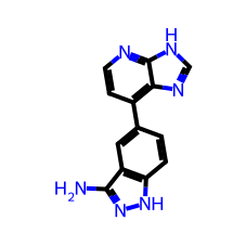 Nc1n[nH]c2ccc(-c3ccnc4[nH]cnc34)cc12